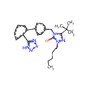 CCCCCn1nc(C(C)(C)C)n(Cc2ccc(-c3ccccc3-c3nnn[nH]3)cc2)c1=O